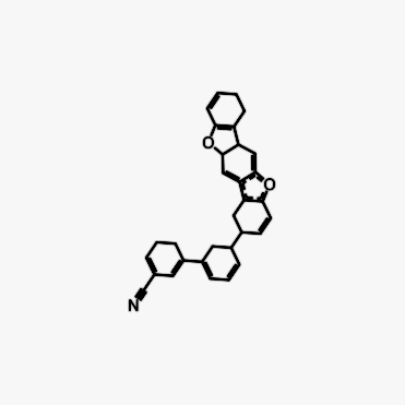 N#CC1=CCCC(C2=CC=CC(C3C=Cc4oc5c(c4C3)=CC3OC4=C(CCC=C4)C3C=5)C2)=C1